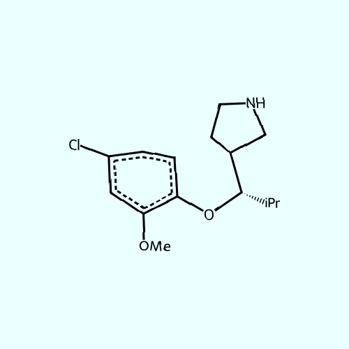 COc1cc(Cl)ccc1O[C@@H](C(C)C)C1CCNC1